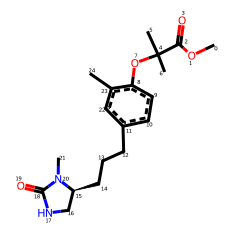 COC(=O)C(C)(C)Oc1ccc(CCC[C@H]2CNC(=O)N2C)cc1C